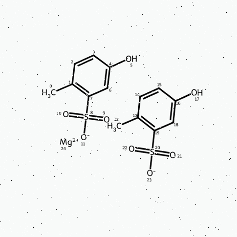 Cc1ccc(O)cc1S(=O)(=O)[O-].Cc1ccc(O)cc1S(=O)(=O)[O-].[Mg+2]